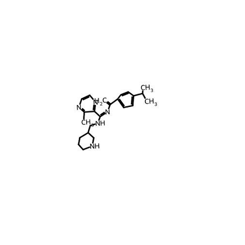 C=C(/N=C(/NCC1CCCNC1)c1nccnc1C)c1ccc(C(C)C)cc1